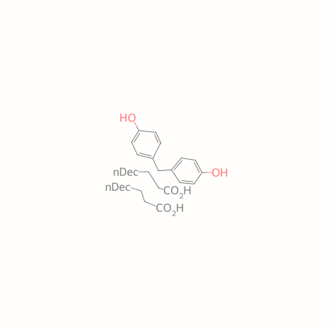 CCCCCCCCCCCCC(=O)O.CCCCCCCCCCCCC(=O)O.Oc1ccc(Cc2ccc(O)cc2)cc1